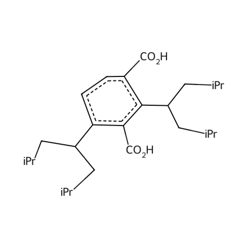 CC(C)CC(CC(C)C)c1ccc(C(=O)O)c(C(CC(C)C)CC(C)C)c1C(=O)O